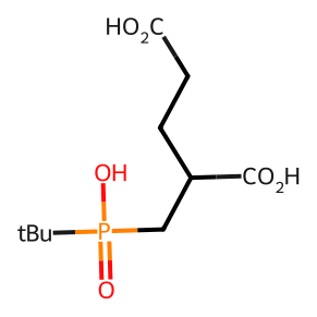 CC(C)(C)P(=O)(O)CC(CCC(=O)O)C(=O)O